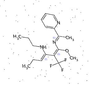 CC/C=C(NCCC)/C(=C(\N=C(/C)c1ccccn1)OC)C(F)(F)F